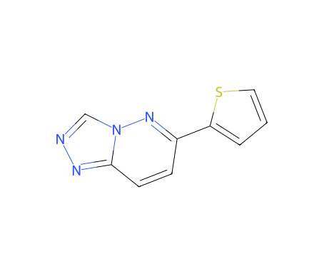 c1csc(-c2ccc3nncn3n2)c1